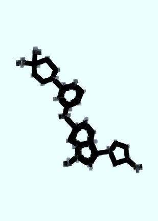 CCC(C)n1nc(N2CCC(O)C2)c2cnc(Nc3ccnc(N4CCC(C)(O)CC4)n3)cc21